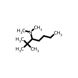 CCCCC(N(C)C)C(C)(C)C